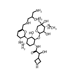 CN[C@@H]1[C@@H](O)[C@@H](O[C@@H]2[C@@H](O)[C@H](C3OC(CNCC(O)CN)=CC[C@H]3N)[C@@H](N)C[C@H]2NC(=O)C(O)C2CNC2)OC[C@]1(C)O